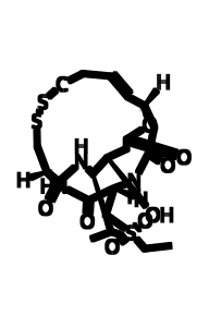 CCS(=O)(=O)C[C@H]1NC(=O)C[C@H]2/C=C/CCSSC[C@@H](NC1=O)C(=O)N[C@H](C(C)C)[C@@H](O)CC(=O)O2